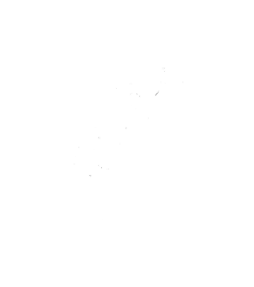 CCOC(=O)CCc1cccc(-c2ccc(S(=O)(=O)N(C)C[C@H]3CO3)c(CC)c2)n1